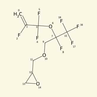 C=C(F)C(F)(F)OC(F)(COCC1CO1)C(F)(F)F